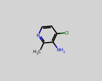 Cc1nccc(Cl)c1N